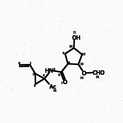 C=CC1CC1(NC(=O)C1CC(O)CC1OC=O)C(C)=O